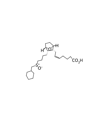 O=C(O)CCC/C=C\C[C@@H]1[C@H](CCCC[S+]([O-])CC2CCCCC2)[C@@H]2CC[C@H]1O2